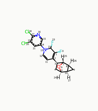 FC1=C([C@@H]2C[C@H]3O[C@H]2[C@H]2C[C@H]23)C=CN(c2cnc(Cl)c(Cl)c2)C1F